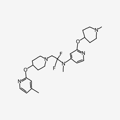 Cc1ccnc(OC2CCN(CC(F)(F)N(C)c3ccnc(OC4CCN(C)CC4)c3)CC2)c1